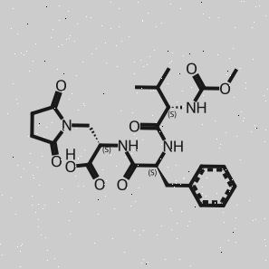 COC(=O)N[C@H](C(=O)N[C@@H](Cc1ccccc1)C(=O)N[C@@H](CN1C(=O)CCC1=O)C(=O)O)C(C)C